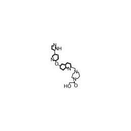 O=C(CO)N1CCCN(Cc2ccc3cc(Oc4ccc(-c5ccn[nH]5)cn4)ccc3n2)CC1